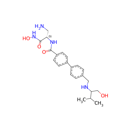 CC(C)C(CO)NCc1ccc(-c2ccc(C(=O)N[C@@H](CN)C(=O)NO)cc2)cc1